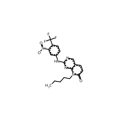 CCCCCn1c(=O)ccc2cnc(Nc3ccc(C(F)(F)F)c([N+](=O)[O-])c3)nc21